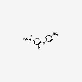 O=[N+]([O-])c1ccc(Oc2ccc(C(F)(F)C(F)(F)F)cc2Cl)cc1